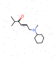 CC(C)C(=O)/C=C/CN(C)C1CCCCC1